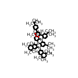 CC(C)c1cc2c3c(c1)N(c1ccc(C(C)(C)C)cc1-c1cccc(-c4ccc(C(C)(C)C)cc4)c1)c1cc(C(C)(C)C)ccc1B3c1cc3c(cc1N2c1ccc2c(c1)C(C)(C)CCC2(C)C)C(C)(C)CCC3(C)C